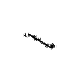 CN(C)CCCCNC(=O)CCCC(=O)NCCCOCCOCCOCCCNC(=O)CCCC[C@@H]1SC[C@@H]2NC(=O)N=C21